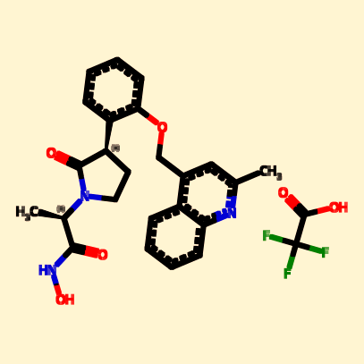 Cc1cc(COc2ccccc2[C@H]2CCN([C@H](C)C(=O)NO)C2=O)c2ccccc2n1.O=C(O)C(F)(F)F